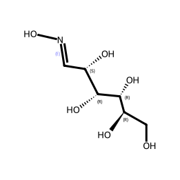 OC[C@@H](O)[C@@H](O)[C@H](O)[C@@H](O)/C=N/O